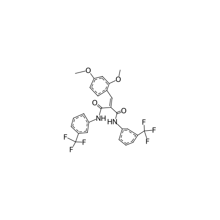 COc1ccc(C=C(C(=O)Nc2cccc(C(F)(F)F)c2)C(=O)Nc2cccc(C(F)(F)F)c2)c(OC)c1